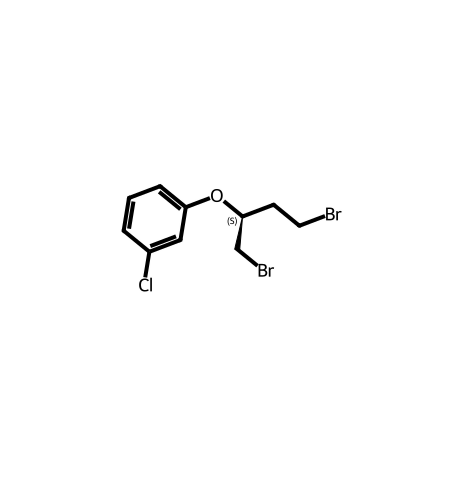 Clc1cccc(O[C@H](CBr)CCBr)c1